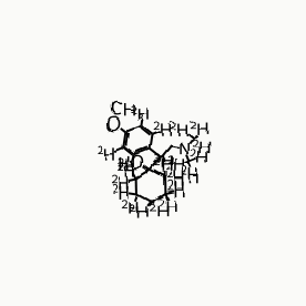 [2H]c1c([2H])c(C([2H])(CN(C([2H])([2H])[2H])C([2H])([2H])[2H])C2(O)C([2H])([2H])C([2H])([2H])C([2H])([2H])C([2H])([2H])C2([2H])[2H])c([2H])c([2H])c1OC